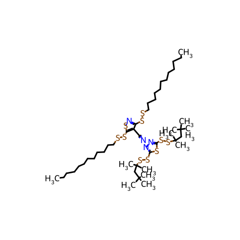 CC(C)(C)CC(C)(C)SSc1nnc(SSC(C)(C)CC(C)(C)C)s1.CCCCCCCCCCCCSSc1nsc(SSCCCCCCCCCCCC)c1C#N